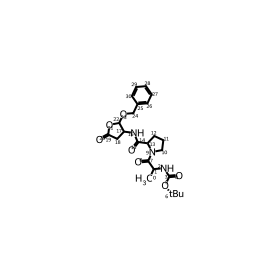 CC(NC(=O)OC(C)(C)C)C(=O)N1CCCC1C(=O)NC1CC(=O)OC1OCc1ccccc1